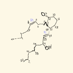 CCCC/C=C\CN1C(=O)CCC[C@@H]1/C=C/C(O)CCCCC